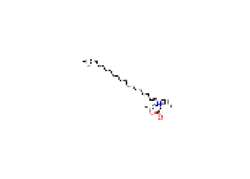 CCCCCCCCCCCCCCCCC=C[N+](C)(C)CC(=O)[O-]